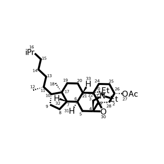 CCN(CC)C[C@@]12C[C@H]3[C@@H]4CC[C@H]([C@H](C)CCCC(C)C)[C@@]4(C)CC[C@@H]3[C@@]3(C)CC[C@H](OC(C)=O)C[C@]13O2